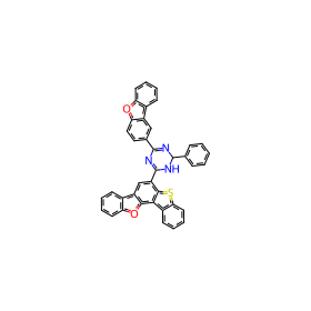 c1ccc(C2N=C(c3ccc4oc5ccccc5c4c3)N=C(c3cc4c5ccccc5oc4c4c3sc3ccccc34)N2)cc1